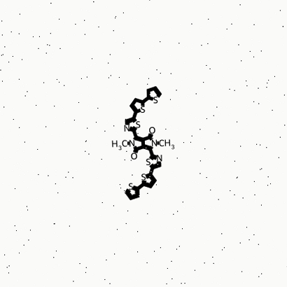 CN1C(=O)C2=C(c3ncc(-c4ccc(-c5cccs5)s4)s3)N(C)C(=O)C2=C1c1ncc(C2=CCC(C3CC=CS3)S2)s1